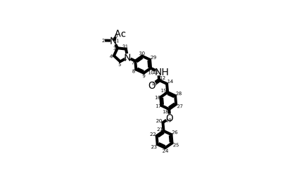 CC(=O)N(C)C1CCN(c2ccc(NC(=O)Cc3ccc(OCc4ccccc4)cc3)cc2)C1